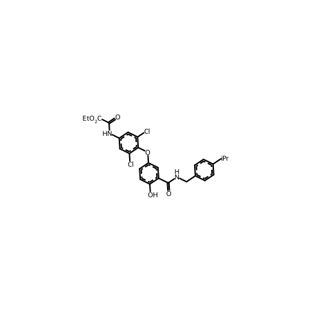 CCOC(=O)C(=O)Nc1cc(Cl)c(Oc2ccc(O)c(C(=O)NCc3ccc(C(C)C)cc3)c2)c(Cl)c1